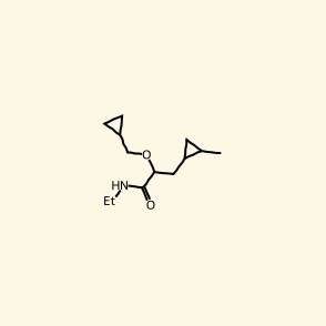 CCNC(=O)C(CC1CC1C)OCC1CC1